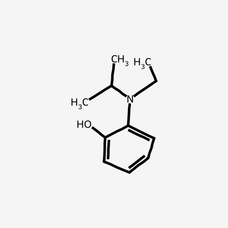 CCN(c1ccccc1O)C(C)C